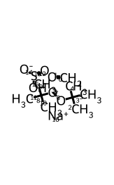 C=O.CC(C)(C)OOC(C)(C)C.O=S([O-])O.[Na+]